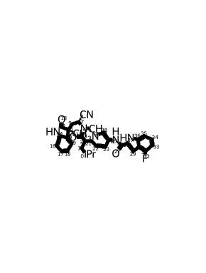 CC(C)CC(C(=O)N(C)[C@H](C#N)C[C@@]1(C)C(=O)Nc2ccccc21)c1ccc(NC(=O)c2cc3c(F)cccc3[nH]2)cn1